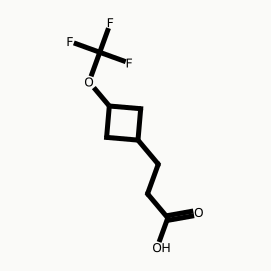 O=C(O)CCC1CC(OC(F)(F)F)C1